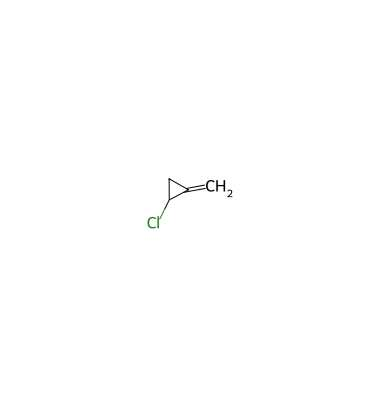 C=C1CC1Cl